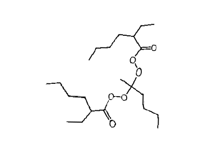 CCCCC(CC)C(=O)OOC(C)(CCCC)OOC(=O)C(CC)CCCC